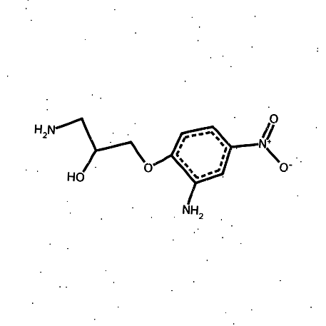 NCC(O)COc1ccc([N+](=O)[O-])cc1N